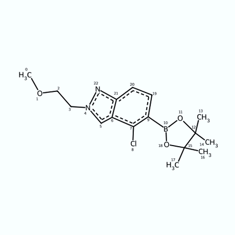 COCCn1cc2c(Cl)c(B3OC(C)(C)C(C)(C)O3)ccc2n1